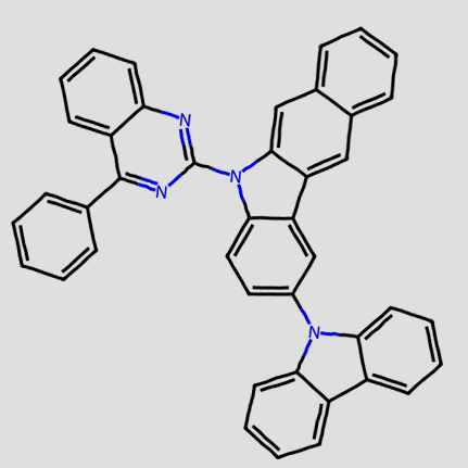 c1ccc(-c2nc(-n3c4ccc(-n5c6ccccc6c6ccccc65)cc4c4cc5ccccc5cc43)nc3ccccc23)cc1